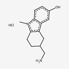 Cl.Cn1c2c(c3cc(O)ccc31)CC(CN)CC2